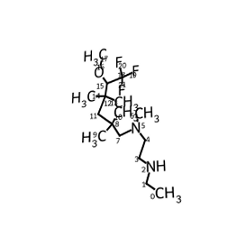 CCNCCN(C)CC(C)(C)CC(C)(C)C(OC)C(F)(F)F